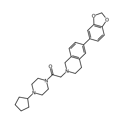 O=C(CN1CCc2cc(-c3ccc4c(c3)OCO4)ccc2C1)N1CCN(C2CCCC2)CC1